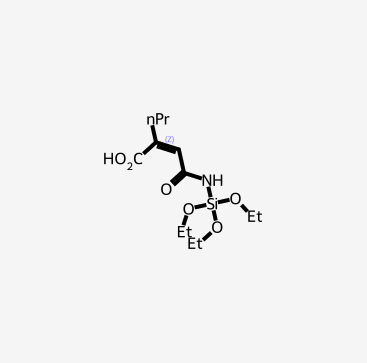 CCC/C(=C/C(=O)N[Si](OCC)(OCC)OCC)C(=O)O